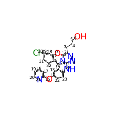 O=c1c(CCCO)nnc(Nc2ccc(Oc3ccccn3)cc2)n1Cc1ccc(Cl)cc1